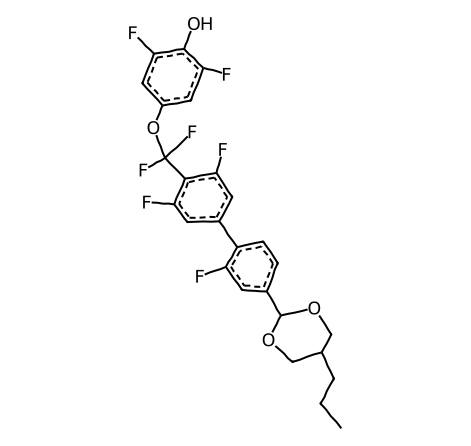 CCCC1COC(c2ccc(-c3cc(F)c(C(F)(F)Oc4cc(F)c(O)c(F)c4)c(F)c3)c(F)c2)OC1